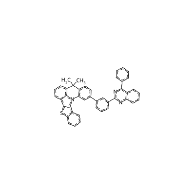 CC1(C)c2ccc(-c3cccc(-c4nc(-c5ccccc5)c5ccccc5n4)c3)cc2-n2c3c1cccc3c1sc3ccccc3c12